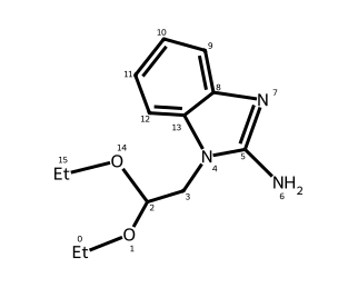 CCOC(Cn1c(N)nc2ccccc21)OCC